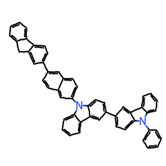 c1ccc(-n2c3ccccc3c3cc(-c4ccc5c(c4)c4ccccc4n5-c4ccc5cc(-c6ccc7c(c6)Cc6ccccc6-7)ccc5c4)ccc32)cc1